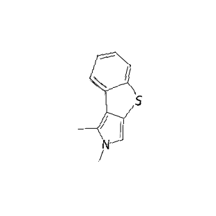 Cc1c2c(cn1C)sc1ccccc12